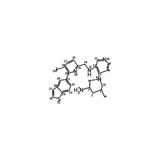 CC1CC(N)CN(c2ccncc2NCc2ccc(F)c(-c3ccc4sccc4c3)n2)C1